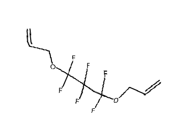 C=CCOC(F)(F)C(F)(F)C(F)(F)OCC=C